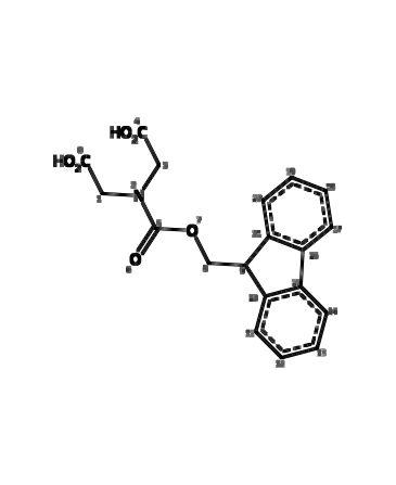 O=C(O)CN(CC(=O)O)C(=O)OCC1c2ccccc2-c2ccccc21